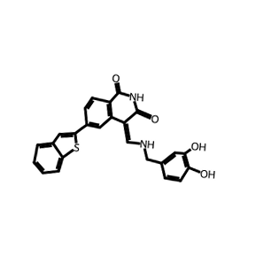 O=C1NC(=O)c2ccc(-c3cc4ccccc4s3)cc2C1=CNCc1ccc(O)c(O)c1